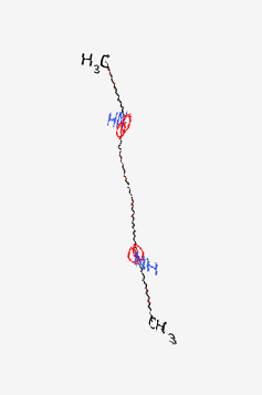 CCCCCCCCCCCCCCCCCCNC(=O)OCCCCCCCCCCCCCCCCCCCCCCCCCCCCCCCCCCCCOC(=O)NCCCCCCCCCCCCCCCCCC